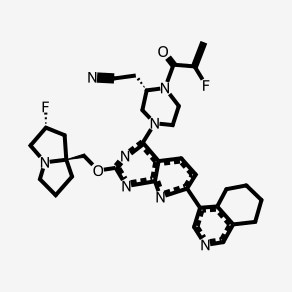 C=C(F)C(=O)N1CCN(c2nc(OC[C@@]34CCCN3C[C@H](F)C4)nc3nc(-c4cncc5c4CCCC5)ccc23)C[C@@H]1CC#N